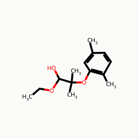 CCOC(O)C(C)(C)Oc1cc(C)ccc1C